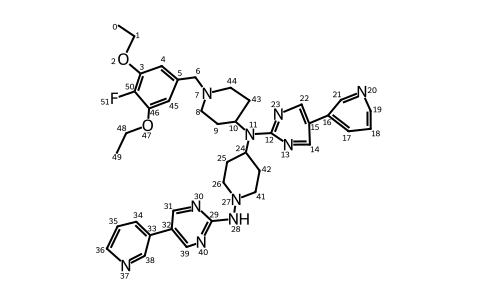 CCOc1cc(CN2CCC(N(c3ncc(-c4cccnc4)cn3)C3CCN(Nc4ncc(-c5cccnc5)cn4)CC3)CC2)cc(OCC)c1F